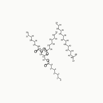 CCCCCCCC(=O)OCC(COC(=O)CCCCCCC)OC(=O)CCCCCCC.CCCCCCCCCCCCCC(C)C